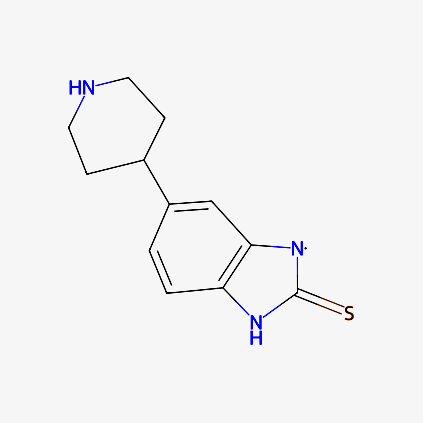 S=C1[N]c2cc(C3CCNCC3)ccc2N1